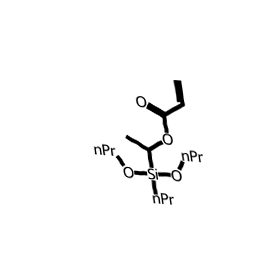 C=CC(=O)OC(C)[Si](CCC)(OCCC)OCCC